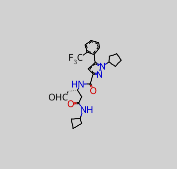 O=CC[C@@H](CC(=O)NC1CCC1)NC(=O)c1cc(-c2ccccc2C(F)(F)F)n(C2CCCC2)n1